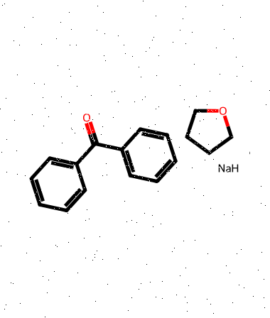 C1CCOC1.O=C(c1ccccc1)c1ccccc1.[NaH]